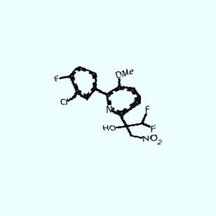 COc1ccc(C(O)(C[N+](=O)[O-])C(F)F)nc1-c1ccc(F)c(Cl)c1